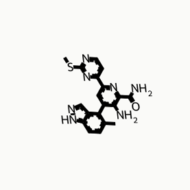 CSc1nccc(-c2cc(-c3c(C)ccc4[nH]ncc34)c(N)c(C(N)=O)n2)n1